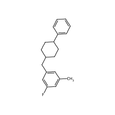 Cc1cc(F)cc(CC2CCC(c3ccccc3)CC2)c1